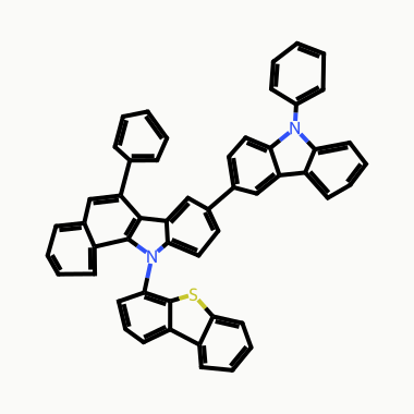 c1ccc(-c2cc3ccccc3c3c2c2cc(-c4ccc5c(c4)c4ccccc4n5-c4ccccc4)ccc2n3-c2cccc3c2sc2ccccc23)cc1